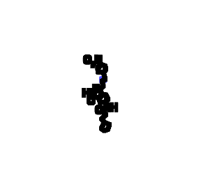 O=C(CCC1CCCC1)Nc1ccc2c(C/C=C/c3ccc([N+](=O)[O-])cc3)n[nH]c(=O)c2c1